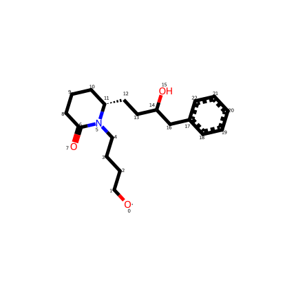 [O]CCCCN1C(=O)CCC[C@@H]1CCC(O)Cc1ccccc1